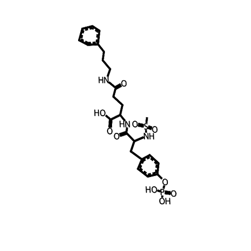 CS(=O)(=O)NC(Cc1ccc(OP(=O)(O)O)cc1)C(=O)NC(CCC(=O)NCCCc1ccccc1)C(=O)O